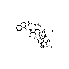 CCOc1cc(OC)c(C(=O)NCc2c(C)ccc3ccccc23)c2c1[C@]1(C)C(=O)C(C(C)=O)=C(O)C=C1O2